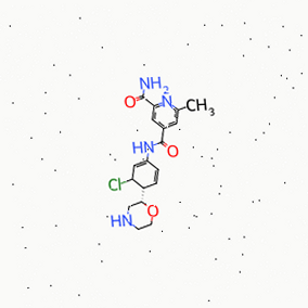 Cc1cc(C(=O)NC2=CC(Cl)C([C@H]3CNCCO3)C=C2)cc(C(N)=O)n1